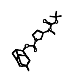 CN(C(=O)OC(C)(C)C)[C@@H]1CCN(C(=O)OC2C3CC4CC2CC(C)(C4)C3)C1